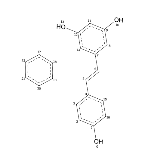 Oc1ccc(C=Cc2cc(O)cc(O)c2)cc1.c1ccccc1